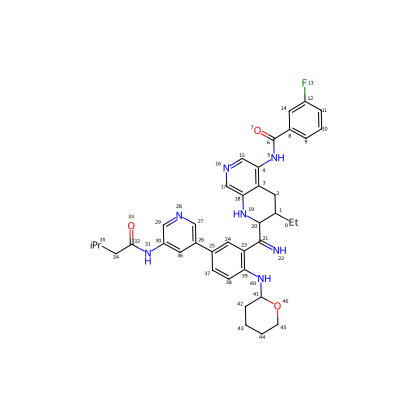 CCC1Cc2c(NC(=O)c3cccc(F)c3)cncc2NC1C(=N)c1cc(-c2cncc(NC(=O)CC(C)C)c2)ccc1NC1CCCCO1